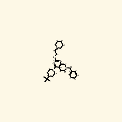 CC(C)(C)N1CCN(c2nc(OCCN3CCCCC3)nc3c2CCN(Cc2ccccc2)C3)CC1